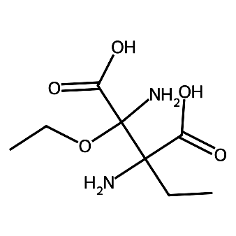 CCOC(N)(C(=O)O)C(N)(CC)C(=O)O